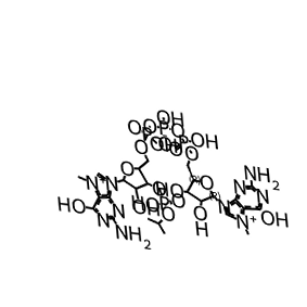 CC(C)OP(=O)(O)OC1C(COP(=O)(O)OP(=O)(O)OP(=O)(O)OC[C@H]2O[C@@H](n3c[n+](C)c4c(O)nc(N)nc43)C(O)C2O)OC(n2c[n+](C)c3c(O)nc(N)nc32)C1O